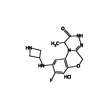 CC1C(=O)NN=C2COc3cc(F)c(NC4CNC4)cc3N21.Cl